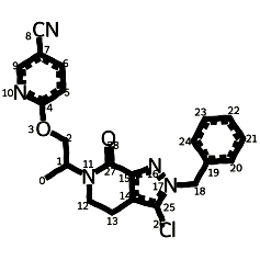 CC(COc1ccc(C#N)cn1)N1CCc2c(nn(Cc3ccccc3)c2Cl)C1=O